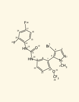 Cn1ncc(Br)c1-c1cc(NC(=O)Nc2ccc(F)cc2F)ccc1OC(F)(F)F